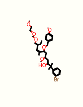 CCC(/C=C(/C)C(CC(CC(O)C(C)(C)c1cccc(Br)c1)OC)OCc1ccc(OC)cc1)COCOCCOC